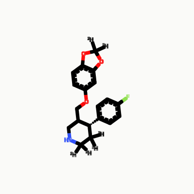 [2H]C1([2H])Oc2ccc(OCC3CNC([2H])([2H])C([2H])([2H])[C@H]3c3ccc(F)cc3)cc2O1